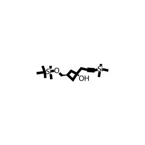 CC(C)(C)[Si](C)(C)OC[C@H]1C[C@](O)(CC#C[Si](C)(C)C)C1